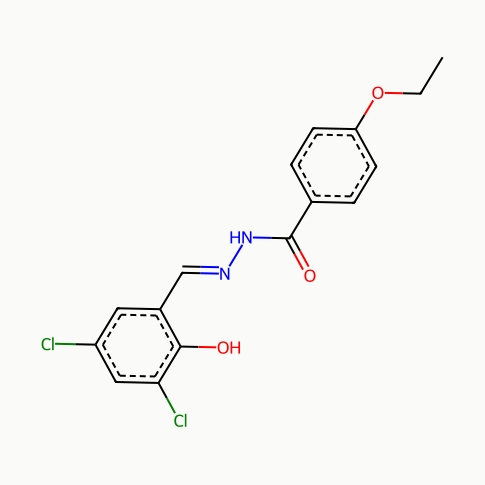 CCOc1ccc(C(=O)N/N=C/c2cc(Cl)cc(Cl)c2O)cc1